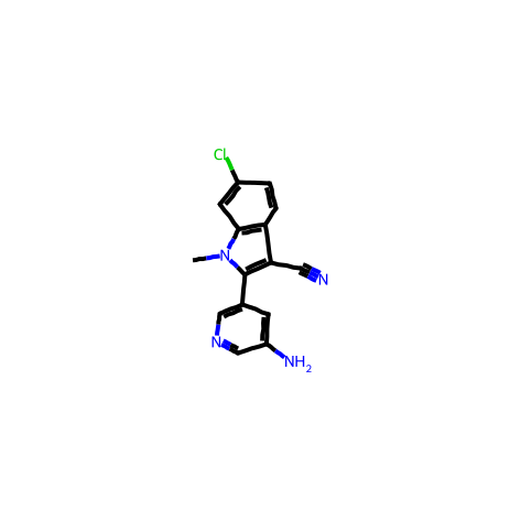 Cn1c(-c2cncc(N)c2)c(C#N)c2ccc(Cl)cc21